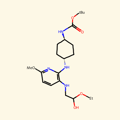 CCOC(O)CNc1ccc(OC)nc1N[C@H]1CC[C@H](NC(=O)OC(C)(C)C)CC1